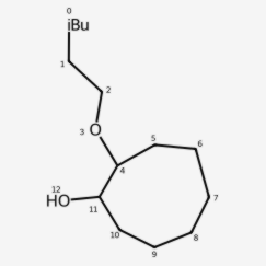 CCC(C)CCOC1CCCCCCC1O